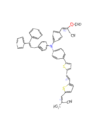 N#C/C(=C\c1ccc(N(c2ccc(C=C(c3ccccc3)c3ccccc3)cc2)c2ccc(-c3ccc(/C=C/c4ccc(/C=C(\C#N)C(=O)O)s4)s3)cc2)cc1)OC=O